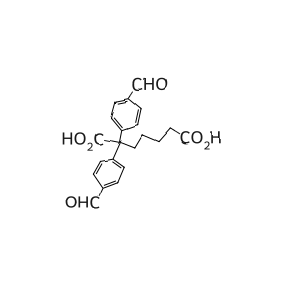 O=Cc1ccc(C(CCCCC(=O)O)(C(=O)O)c2ccc(C=O)cc2)cc1